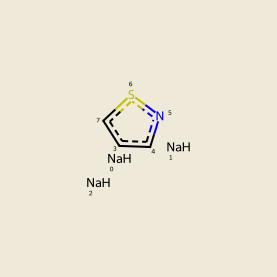 [NaH].[NaH].[NaH].c1cnsc1